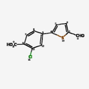 O=Cc1ccc(-c2ccc(C(=O)O)c(Cl)c2)s1